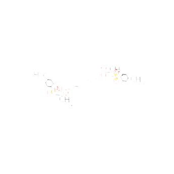 C=C(CS(=O)(=O)c1ccc(C)cc1)C(=O)OCCCCCCCCCCCOC(=O)C(=C)CS(=O)(=O)c1ccc(C)cc1